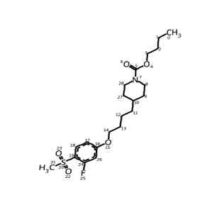 CCCCOC(=O)N1CCC(CCCCOc2ccc(S(C)(=O)=O)c(F)c2)CC1